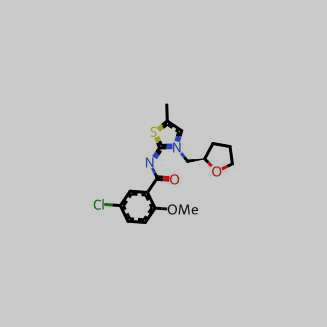 COc1ccc(Cl)cc1C(=O)N=c1sc(C)cn1C[C@H]1CCCO1